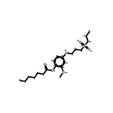 CCCCCCC(=O)Oc1ccc(OCCCS(=O)(=O)CCC)cc1OC